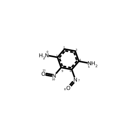 Nc1ccc(N)c(N=O)c1N=O